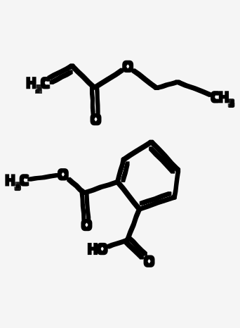 C=CC(=O)OCCC.COC(=O)c1ccccc1C(=O)O